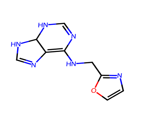 C1=NC(NCc2ncco2)=C2N=CNC2N1